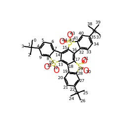 CC(C)(C)c1ccc2c(c1)S(=O)(=O)c1c-2c2c(c3c1-c1ccc(C(C)(C)C)cc1S3(=O)=O)-c1ccc(C(C)(C)C)cc1S2(=O)=O